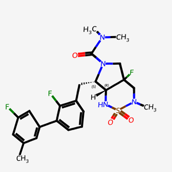 Cc1cc(F)cc(-c2cccc(C[C@H]3[C@H]4NS(=O)(=O)N(C)CC4(F)CN3C(=O)N(C)C)c2F)c1